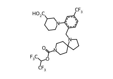 O=C(O)C1CCCN(c2cc(C(F)(F)F)ccc2CN2CCCC23CCN(C(=O)OC(C(F)(F)F)C(F)(F)F)CC3)C1